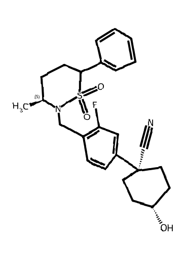 C[C@H]1CCC(c2ccccc2)S(=O)(=O)N1Cc1ccc([C@]2(C#N)CC[C@@H](O)CC2)cc1F